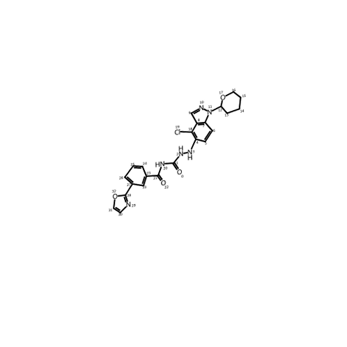 O=C(NNc1ccc2c(cnn2C2CCCCO2)c1Cl)NC(=O)c1cccc(-c2ncco2)c1